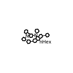 CCCCCCc1c2cc(-c3ccccc3)ccc2c(N(c2ccccc2)c2ccc3c(c2)c2ccccc2n3-c2ccccc2)c2cc(-c3ccccc3)ccc12